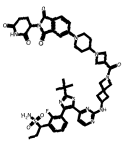 CCC(c1cccc(-c2nc(C(C)(C)C)sc2-c2ccnc(NC3CC4(C3)CN(C(=O)C3CN(C5CCN(c6ccc7c(c6)C(=O)N(C6CCC(=O)NC6=O)C7=O)CC5)C3)C4)n2)c1F)S(N)(=O)=O